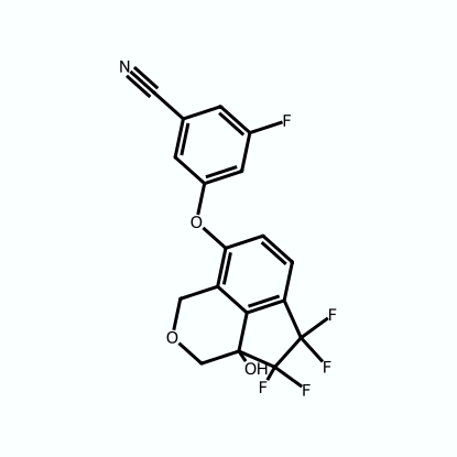 N#Cc1cc(F)cc(Oc2ccc3c4c2COCC4(O)C(F)(F)C3(F)F)c1